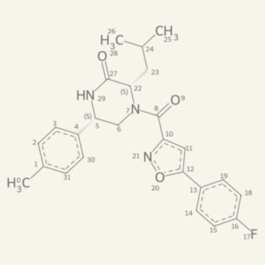 Cc1ccc([C@H]2CN(C(=O)c3cc(-c4ccc(F)cc4)on3)[C@@H](CC(C)C)C(=O)N2)cc1